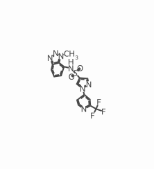 Cn1nnc2cccc(NS(=O)(=O)c3cnn(-c4ccnc(C(F)(F)F)c4)c3)c21